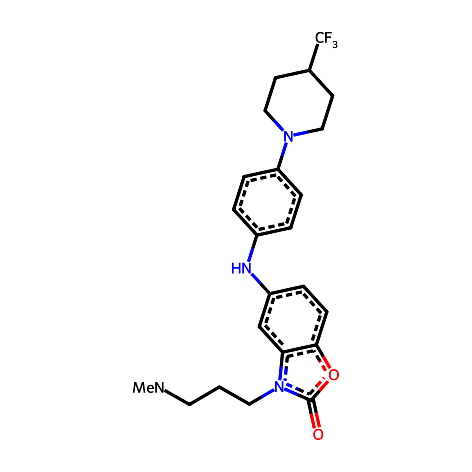 CNCCCn1c(=O)oc2ccc(Nc3ccc(N4CCC(C(F)(F)F)CC4)cc3)cc21